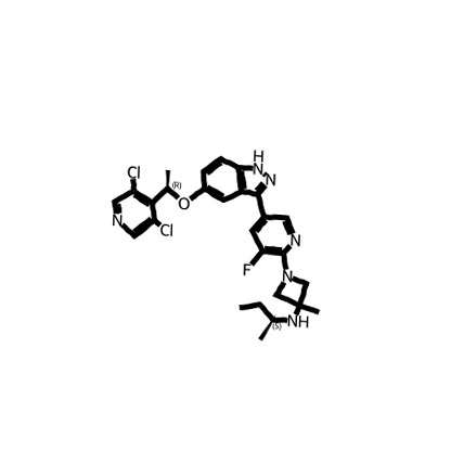 CC[C@H](C)NC1(C)CN(c2ncc(-c3n[nH]c4ccc(O[C@H](C)c5c(Cl)cncc5Cl)cc34)cc2F)C1